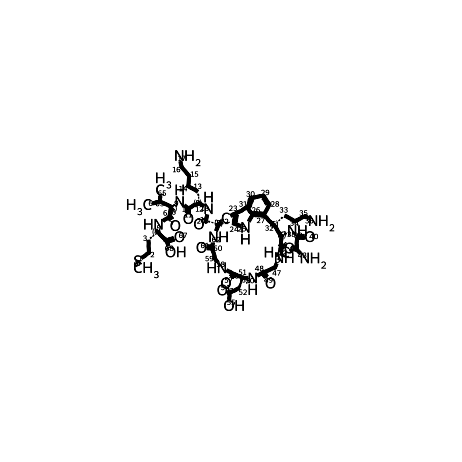 CSCC[C@H](NC(=O)[C@@H](NC(=O)[C@H](CCCCN)NC(=O)[C@@H]1Cc2c[nH]c3c(cccc23)[C@H](CCCN)[C@H](NC(=O)[C@H](C)N)C(=O)NCC(=O)N[C@@H](CC(=O)O)C(=O)NCC(=O)N1)C(C)C)C(=O)O